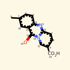 Cc1ccc2nc3ccc(C(=O)O)cn3c(=O)c2c1